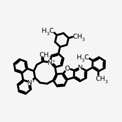 C=C1CC2c3ccccc3-c3cccc[n+]3C2CCc2ccc3c(oc4nc(-c5c(C)cccc5C)ccc43)c2-c2ccc(C3CC(C)CC(C)C3)c[n+]21